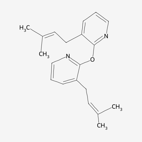 CC(C)=CCc1cccnc1Oc1ncccc1CC=C(C)C